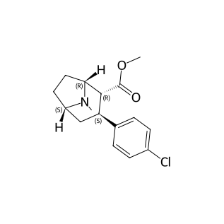 COC(=O)[C@@H]1[C@@H](c2ccc(Cl)cc2)C[C@@H]2CC[C@H]1N2C